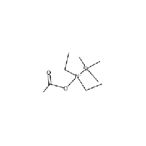 CC[N+](CC)(OC(C)=O)[Si](C)(C)C